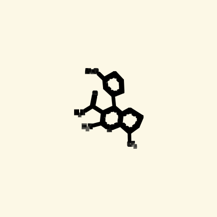 COc1cccc(-c2c(C(N)=O)c(N)nc3c(C(F)(F)F)cccc23)c1